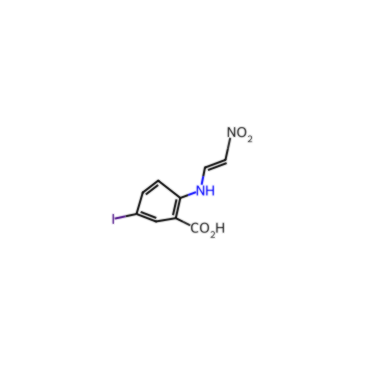 O=C(O)c1cc(I)ccc1N/C=C/[N+](=O)[O-]